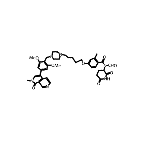 COc1cc(-c2cn(C)c(=O)c3cnccc23)cc(OC)c1CN1CCN(CCCCCOc2ccc(C(=O)N(C=O)C3CCC(=O)NC3=O)c(C)c2)CC1